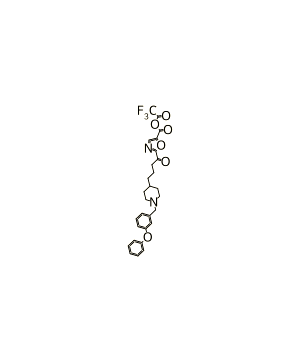 O=C(OC(=O)C(F)(F)F)c1cnc(C(=O)CCCC2CCN(Cc3cccc(Oc4ccccc4)c3)CC2)o1